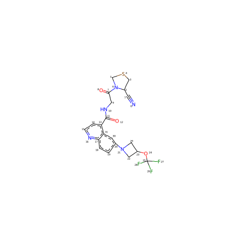 N#CC1CSCN1C(=O)CNC(=O)c1ccnc2ccc(N3CC(OC(F)(F)F)C3)cc12